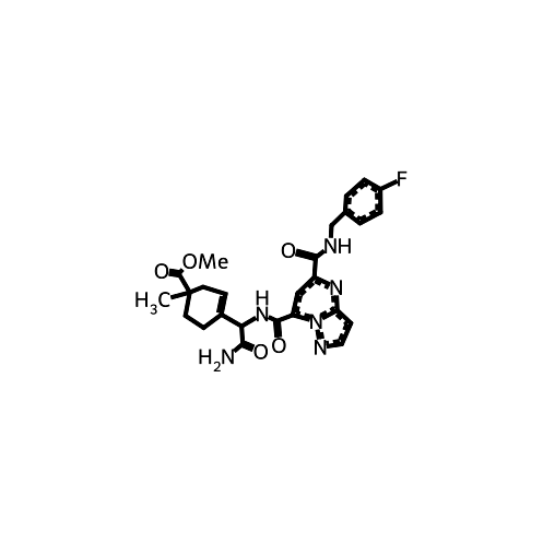 COC(=O)C1(C)CC=C(C(NC(=O)c2cc(C(=O)NCc3ccc(F)cc3)nc3ccnn23)C(N)=O)CC1